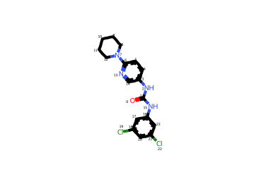 O=C(Nc1ccc(N2CCCCC2)nc1)Nc1cc(Cl)cc(Cl)c1